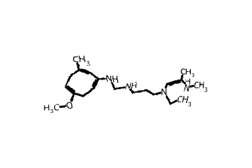 CCN(/C=C(/C)NC)CCCNCNC1=C/CC(OC)=CC/C(C)=C\1